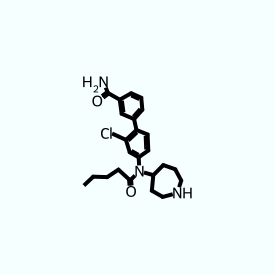 CCCCC(=O)N(c1ccc(-c2cccc(C(N)=O)c2)c(Cl)c1)C1CCCNCC1